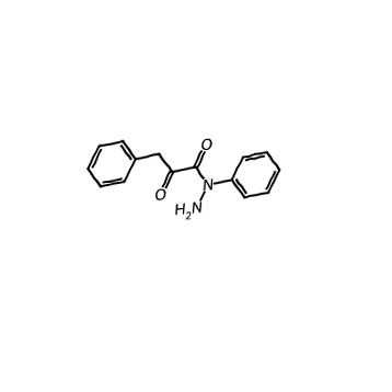 NN(C(=O)C(=O)Cc1ccccc1)c1ccccc1